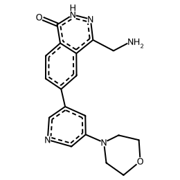 NCc1n[nH]c(=O)c2ccc(-c3cncc(N4CCOCC4)c3)cc12